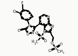 CS(=O)(=O)OCc1nc2nccc(-c3noc(=O)n3-c3ccc(F)c(Cl)c3)c2n1S(C)(=O)=O